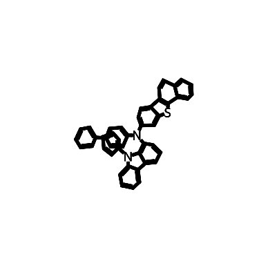 c1ccc(-c2ccc(N(c3ccc4c(c3)sc3c5ccccc5ccc43)c3cccc4c5ccccc5n(-c5ccccc5)c34)cc2)cc1